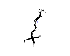 N/[C]=N/OCC(F)(F)F